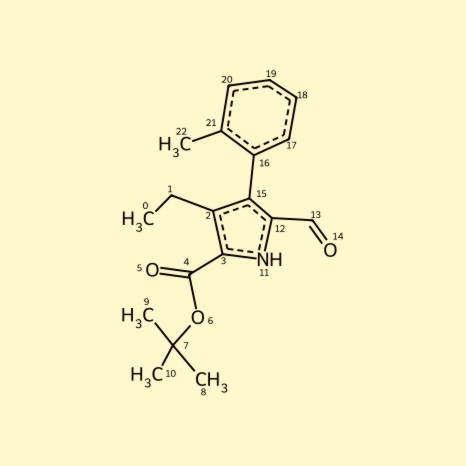 CCc1c(C(=O)OC(C)(C)C)[nH]c(C=O)c1-c1ccccc1C